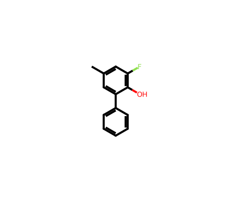 Cc1cc(F)c(O)c(-c2ccccc2)c1